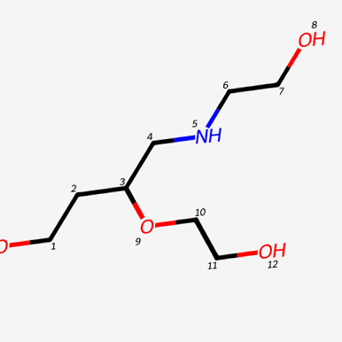 [O]CCC(CNCCO)OCCO